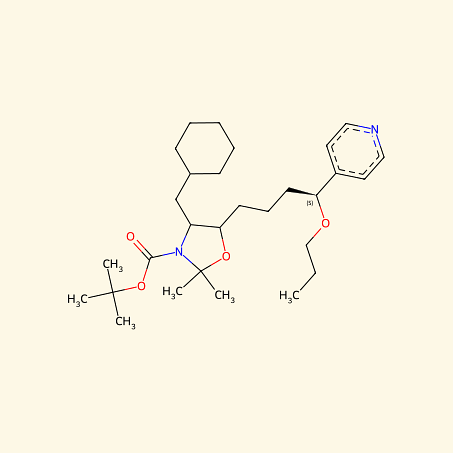 CCCO[C@@H](CCCC1OC(C)(C)N(C(=O)OC(C)(C)C)C1CC1CCCCC1)c1ccncc1